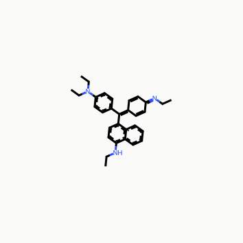 CCN=C1C=CC(=C(c2ccc(N(CC)CC)cc2)c2ccc(NCC)c3ccccc23)C=C1